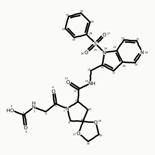 O=C(O)NCC(=O)N1CC2(CC1C(=O)NCc1cc3cnccc3n1S(=O)(=O)c1ccccc1)OCCO2